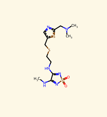 CNC1=NS(=O)(=O)N=C1NCCSCc1cnc(CN(C)C)s1